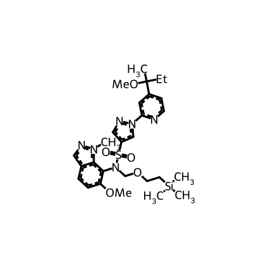 CCC(C)(OC)c1ccnc(-n2cc(S(=O)(=O)N(COCC[Si](C)(C)C)c3c(OC)ccc4cnn(C)c34)cn2)c1